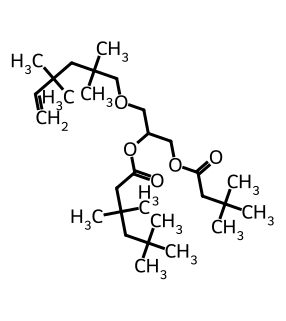 C=CC(C)(C)CC(C)(C)COCC(COC(=O)CC(C)(C)C)OC(=O)CC(C)(C)CC(C)(C)C